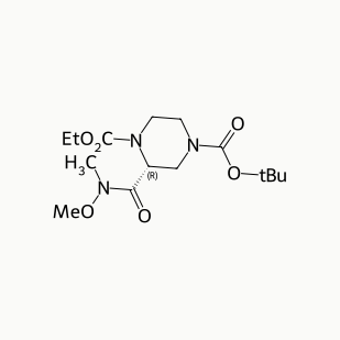 CCOC(=O)N1CCN(C(=O)OC(C)(C)C)C[C@@H]1C(=O)N(C)OC